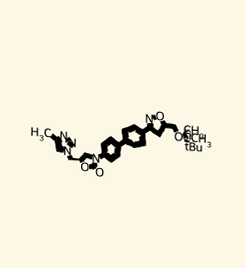 Cc1cn(C[C@H]2CN(c3ccc(-c4ccc(C5=NOC(CO[Si](C)(C)C(C)(C)C)C5)cc4)cc3)C(=O)O2)nn1